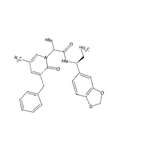 CCCCC(C(=O)N[C@@H](CC(=O)O)c1ccc2c(c1)OCO2)n1cc(C)cc(Cc2ccccc2)c1=O